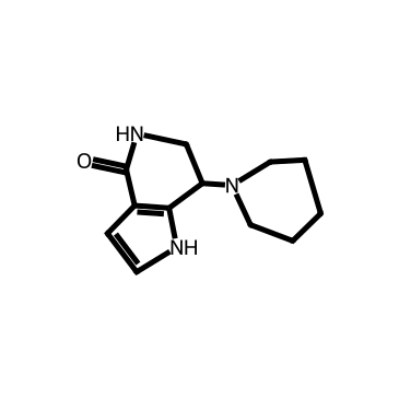 O=C1NCC(N2CCCCC2)c2[nH]ccc21